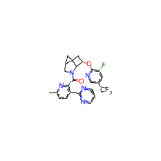 Cc1ccc(-c2ncccn2)c(C(=O)N2CC3CC34CC(Oc3ncc(C(F)(F)F)cc3F)C24)n1